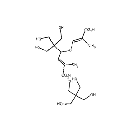 CC(=COC(C=C(C)C(=O)O)C(CO)(CO)CO)C(=O)O.OCC(CO)(CO)CO